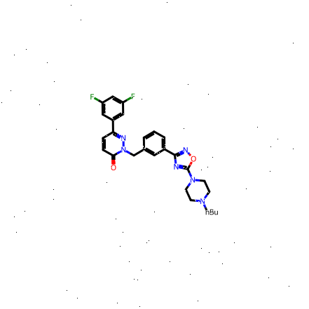 CCCCN1CCN(c2nc(-c3cccc(Cn4nc(-c5cc(F)cc(F)c5)ccc4=O)c3)no2)CC1